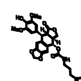 COc1cc([C@@H]2c3cc4c(cc3[C@@H](OC(=O)NCCCN(C)C)[C@@H]3COC(=O)[C@@H]23)OCO4)cc(OC)c1O